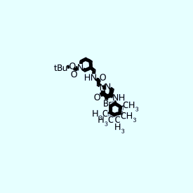 C[C@@H]1[C@@H](C)C(C)(C)[C@@H](C)C[C@H]1Nc1cnn(CC(=O)NCC2CCCN(C(=O)OC(C)(C)C)C2)c(=O)c1Br